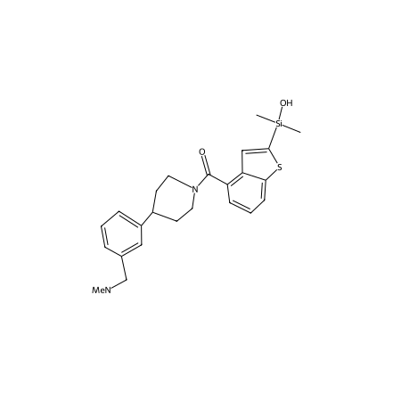 CNCc1cccc(C2CCN(C(=O)c3cccc4sc([Si](C)(C)O)cc34)CC2)c1